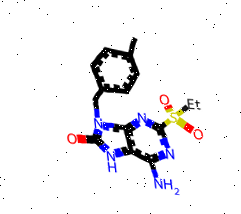 CCS(=O)(=O)c1nc(N)c2[nH]c(=O)n(Cc3ccc(C)cc3)c2n1